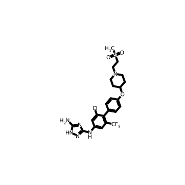 CS(=O)(=O)CCN1CCC(Oc2ccc(-c3c(Cl)cc(Nc4n[nH]c(N)n4)cc3C(F)(F)F)cc2)CC1